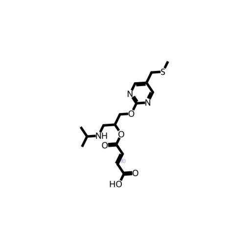 CSCc1cnc(OCC(CNC(C)C)OC(=O)/C=C/C(=O)O)nc1